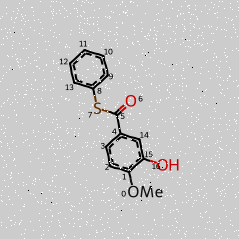 COc1ccc(C(=O)Sc2ccccc2)cc1O